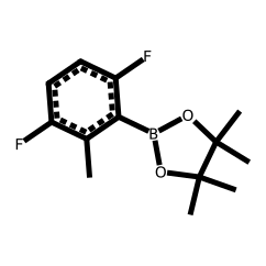 Cc1c(F)ccc(F)c1B1OC(C)(C)C(C)(C)O1